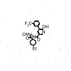 CC[C@H]1CC[C@@](NC(=O)c2cnc(O)c(-c3cccc(C(F)(F)F)c3)c2)(C(=O)OC)CC1